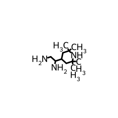 CC1(C)CC(C(N)CN)CC(C)(C)N1